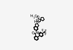 COC(=O)C1(CNC2Cc3ccc(NC(=O)c4ccccc4-c4ccc(C(F)(F)F)cc4)cc3C2)CCCC1